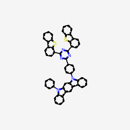 c1ccc(-n2c3ccccc3c3cc4c5ccccc5n(-c5ccc(-c6nc(-c7cccc8c7sc7ccccc78)nc(-c7cccc8c7sc7ccccc78)n6)cc5)c4cc32)cc1